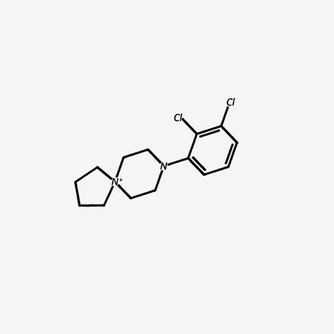 Clc1cccc(N2CC[N+]3(CCCC3)CC2)c1Cl